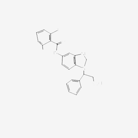 O=C(O)CC(c1ccccc1)N1CNc2cc(NC(=O)c3c(F)cccc3I)ccc21